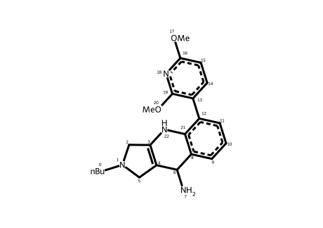 CCCCN1CC2=C(C1)C(N)c1cccc(-c3ccc(OC)nc3OC)c1N2